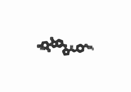 CO[C@H]1CC[C@@H](CN[C@H]2CCC[C@@H]2Oc2ccc3c(c2)CN(C2CCC(=O)NC2=O)C3=O)CC1